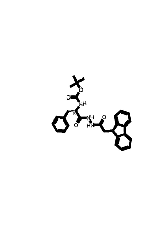 CC(C)(C)OC(=O)N[C@H](Cc1ccccc1)C(=O)NNC(=O)CC1c2ccccc2-c2ccccc21